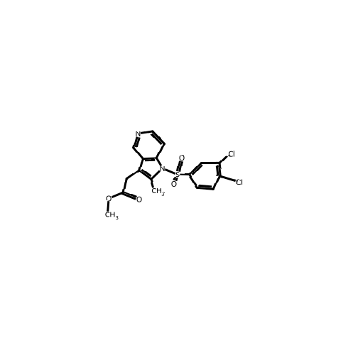 COC(=O)Cc1c(C)n(S(=O)(=O)c2ccc(Cl)c(Cl)c2)c2ccncc12